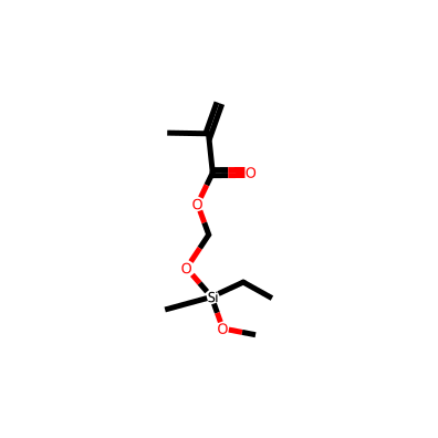 C=C(C)C(=O)OCO[Si](C)(CC)OC